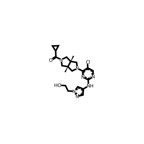 C[C@@]12CN(C(=O)C3CC3)C[C@]1(C)CN(c1nc(Nc3cnn(CCO)c3)ncc1Cl)C2